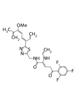 C=CN/C(=C\CC(=O)c1c(F)cc(F)cc1F)C(=O)NCc1nnc(/C(C=C)=C/C=C(/OC)C(=C)C)s1